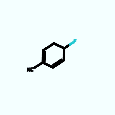 N#CC1=CCC(F)C=C1